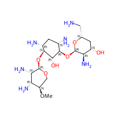 CO[C@@H]1CO[C@H](O[C@@H]2[C@@H](O)[C@H](O[C@H]3O[C@H](CN)C[C@H](O)[C@H]3N)[C@@H](N)C[C@H]2N)[C@@H](N)[C@H]1N